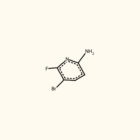 Nc1ccc(Br)c(F)n1